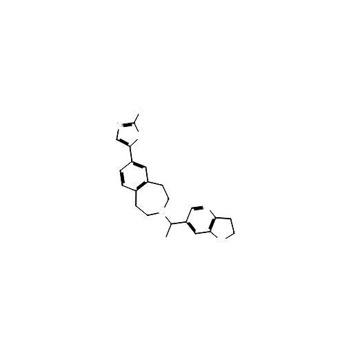 CC(=O)Nc1ncc(-c2ccc3c(c2)CCN(C(C)c2cnc4c(c2)OCC4)CC3)s1